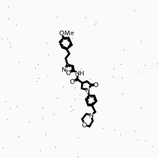 COc1ccc(CCc2cc(NC(=O)C3CC(=O)N(c4ccc(CN5CCOCC5)cc4)C3)on2)cc1